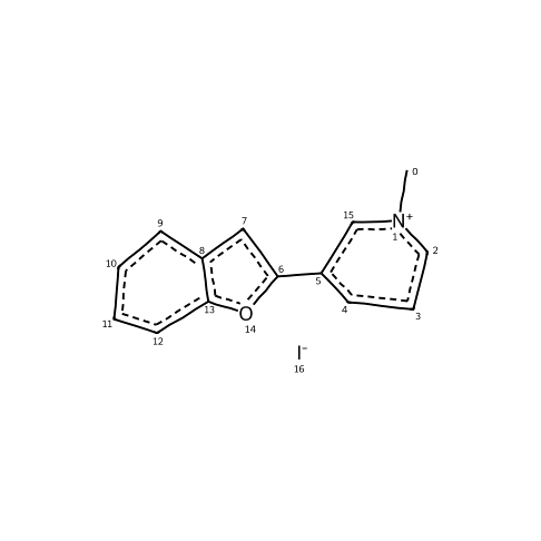 C[n+]1cccc(-c2cc3ccccc3o2)c1.[I-]